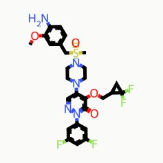 COc1cc(C[SH](C)(=O)N2CCN(c3cnn(-c4cc(F)cc(F)c4)c(=O)c3OCC3CC3(F)F)CC2)ccc1N